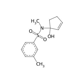 Cc1cccc(S(=O)(=O)N(C)C2(O)C=CCC2)c1